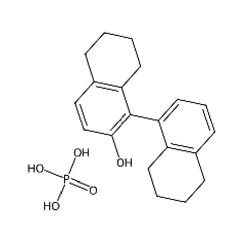 O=P(O)(O)O.Oc1ccc2c(c1-c1cccc3c1CCCC3)CCCC2